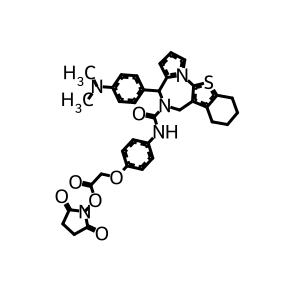 CN(C)c1ccc(C2c3cccn3-c3sc4c(c3CN2C(=O)Nc2ccc(OCC(=O)ON3C(=O)CCC3=O)cc2)CCCC4)cc1